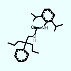 CCCC(CCC)(CNC(=O)Nc1c(C(C)C)cccc1C(C)C)c1ccccc1